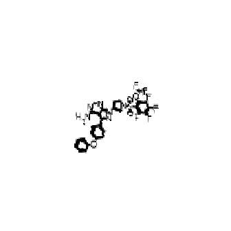 Nc1ncnc2c1c(-c1ccc(Oc3ccccc3)cc1)nn2[C@@H]1CCN(S(=O)(=O)c2c(F)c(F)c(F)c(F)c2OC(F)F)C1